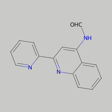 O=CNc1cc(-c2ccccn2)nc2ccccc12